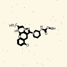 CC(C)(C)OC(=O)N[C@@H]1CCCN(c2nn3cc(C(=O)O)[nH]c(=O)c3c2Cc2ccccc2Cl)C1